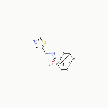 O=C(NCc1cncs1)C12CC3CC(CC(C3)C1)C2